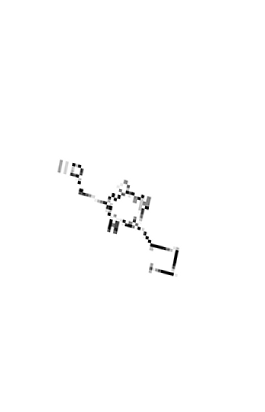 OCc1nc(C2CCC2)no1